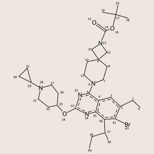 CCc1cc2c(N3CCC4(CC3)CN(C(=O)OC(C)(C)C)C4)nc(OC3CCN(C4CC4)CC3)nc2c(C(C)CC)c1Br